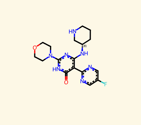 O=c1[nH]c(N2CCOCC2)nc(N[C@@H]2CCCNC2)c1-c1ncc(F)cn1